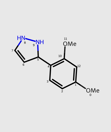 COc1ccc(C2C=CNN2)c(OC)c1